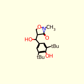 CN1OCC(C(O)c2cc(C(C)(C)C)c(O)c(C(C)(C)C)c2)C1=O